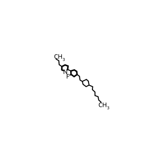 CCCCCCCCC1CCC(CCc2ccc(-c3ccc(CCCC)cn3)c(F)c2)CC1